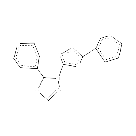 [C]1=NN(c2nnc(-c3cccnc3)o2)C(c2ccncc2)O1